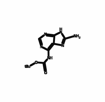 CC(C)(C)OC(=O)Nc1ncnc2[nH]c(N)nc12